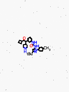 Cc1ccc(-n2nc(C(C)(C)C)cc2NC(=O)Nc2cccc(C(C(=O)C3CCC3)C3CCNCC3)c2)cc1